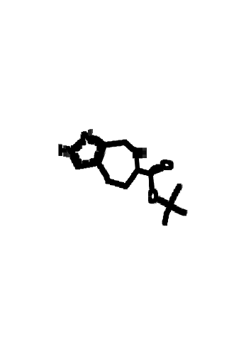 CC(C)(C)OC(=O)C1CCc2c[nH]nc2CN1